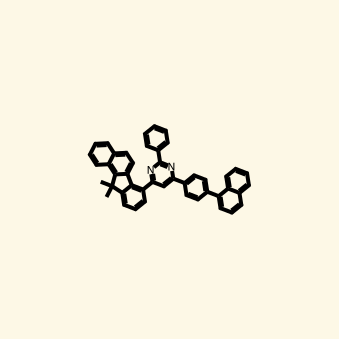 CC1(C)c2cccc(-c3cc(-c4ccc(-c5cccc6ccccc56)cc4)nc(-c4ccccc4)n3)c2-c2ccc3ccccc3c21